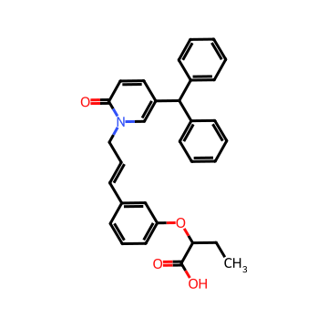 CCC(Oc1cccc(/C=C/Cn2cc(C(c3ccccc3)c3ccccc3)ccc2=O)c1)C(=O)O